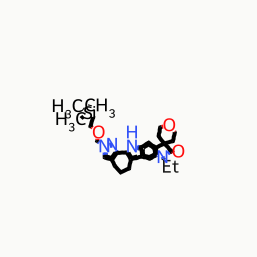 CCN1C(=O)C2(CCOCC2)c2cc3[nH]c4c(c3cc21)CCCc1cn(COCC[Si](C)(C)C)nc1-4